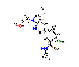 CCc1cn(C(C)(C)COC)c2ncc(-c3cc(C(=S)NC4CC4)c(F)cc3C)cc12